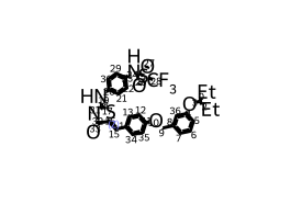 CCC(CC)Oc1cccc(COc2ccc(/C=C3\SC(Nc4ccc(NS(=O)(=O)C(F)(F)F)cc4)=NC3=O)cc2)c1